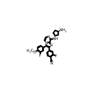 COc1ccc(-c2c(-c3ccc(C#N)c(F)c3)nc3c(N[C@@H]4CC[C@@H](N)C4)nccn23)cc1F